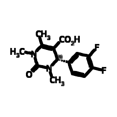 CC1=C(C(=O)O)[C@H](c2ccc(F)c(F)c2)N(C)C(=O)N1C